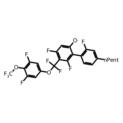 CCCCCc1ccc(-c2c([O])cc(F)c(C(F)(F)Oc3cc(F)c(OC(F)(F)F)c(F)c3)c2F)c(F)c1